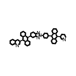 c1cncc(-c2c3ccccc3c(-c3ccc(-n4nc5ccc(-c6c7ccccc7c(-c7cnc8ccccc8c7)c7ccccc67)cc5n4)cc3)c3ccccc23)c1